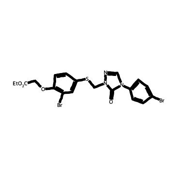 CCOC(=O)COc1ccc(SCn2ncn(-c3ccc(Br)cc3)c2=O)cc1Br